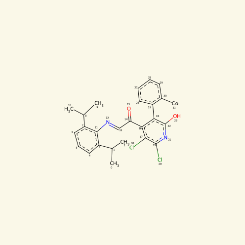 CC(C)c1cccc(C(C)C)c1N=CC(=O)c1c(Cl)c(Cl)nc(O)c1-c1cccc[c]1[Co]